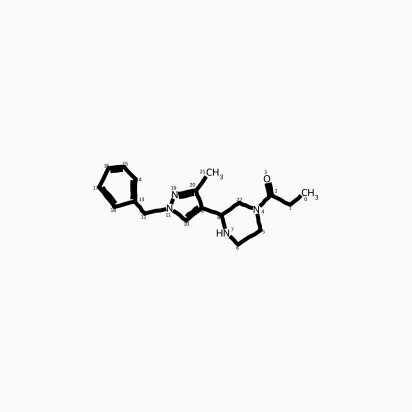 CCC(=O)N1CCNC(c2cn(Cc3ccccc3)nc2C)C1